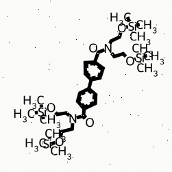 C[Si](C)(C)OCCN(CCO[Si](C)(C)C)C(=O)c1ccc(-c2ccc(C(=O)N(CCO[Si](C)(C)C)CCO[Si](C)(C)C)cc2)cc1